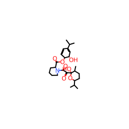 CC(C)C1=CC(O)C(OC(=O)C2CCCCN2C(=O)C(=O)C2(O)OC(C(C)C)CCC2C)C=C1